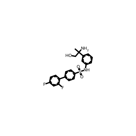 CC(N)(CO)c1cccc(NS(=O)(=O)c2ccc(-c3ccc(F)cc3F)cc2)c1